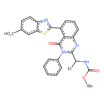 CCC(NC(=O)OC(C)(C)C)c1nc2cccc(-c3nc4ccc(C(=O)O)cc4s3)c2c(=O)n1-c1ccccc1